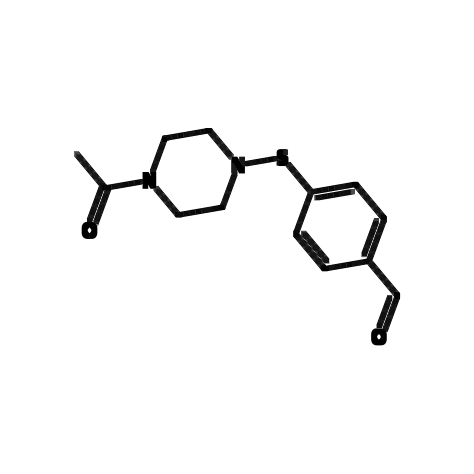 CC(=O)N1CCN(Sc2ccc(C=O)cc2)CC1